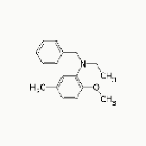 CCN(Cc1ccccc1)c1cc(C)ccc1OC